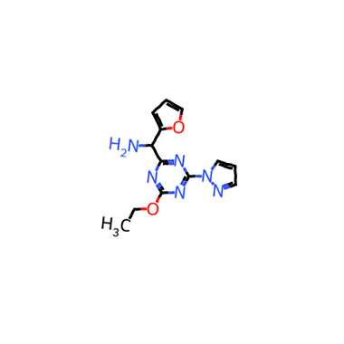 CCOc1nc(C(N)c2ccco2)nc(-n2cccn2)n1